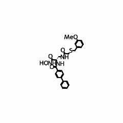 COc1cccc(CSCC(=O)NC[C@H](NC(=O)c2ccc(-c3ccccc3)cc2)C(=O)NO)c1